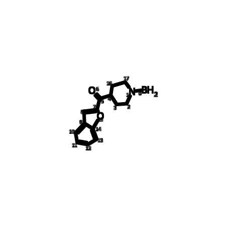 BN1CCC(C(=O)c2cc3ccccc3o2)CC1